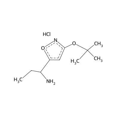 CCC(N)c1cc(OC(C)(C)C)no1.Cl